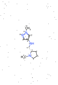 CN1CCC[C@H]1CNc1cnn(C)c1